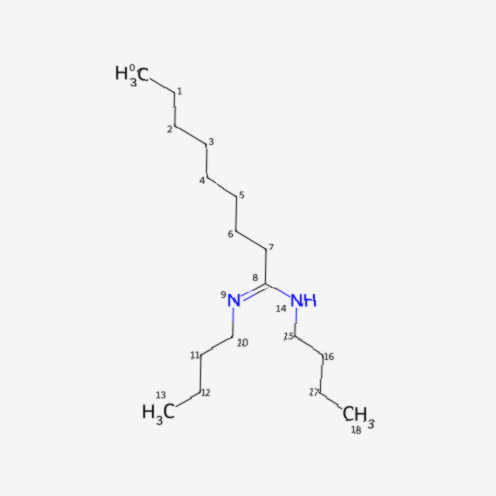 CCCCCCCCC(=NCCCC)NCCCC